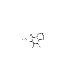 C=CCC1=C(Cl)C(=O)c2ccccc2C1=O